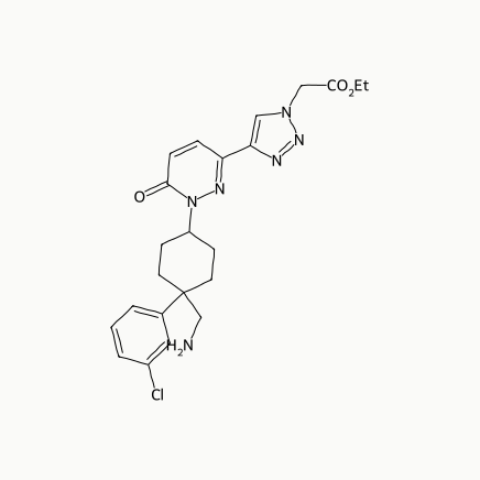 CCOC(=O)Cn1cc(-c2ccc(=O)n(C3CCC(CN)(c4cccc(Cl)c4)CC3)n2)nn1